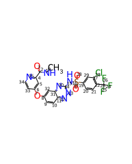 CNC(=O)c1cc(Oc2ccc3nnc(NS(=O)(=O)c4ccc(C(F)(F)F)c(Cl)c4)nc3c2)ccn1